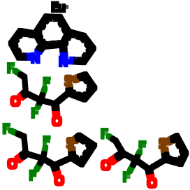 O=C(CF)C(F)(F)C(=O)c1cccs1.O=C(CF)C(F)(F)C(=O)c1cccs1.O=C(CF)C(F)(F)C(=O)c1cccs1.[Eu].c1cnc2c(c1)ccc1cccnc12